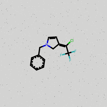 FC(F)(F)C(Cl)=C1C=CN(Cc2ccccc2)C1